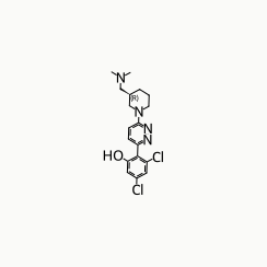 CN(C)C[C@H]1CCCN(c2ccc(-c3c(O)cc(Cl)cc3Cl)nn2)C1